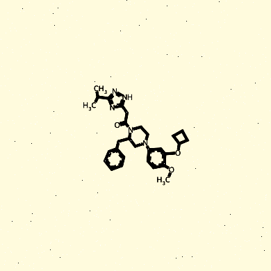 COc1ccc(N2CCN(C(=O)Cc3nc(C(C)C)n[nH]3)C(Cc3ccccc3)C2)cc1OC1CCC1